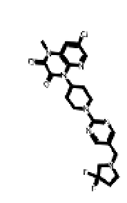 Cn1c(=O)c(=O)n(C2CCN(c3ncc(CN4CCC(F)(F)C4)cn3)CC2)c2ncc(Cl)cc21